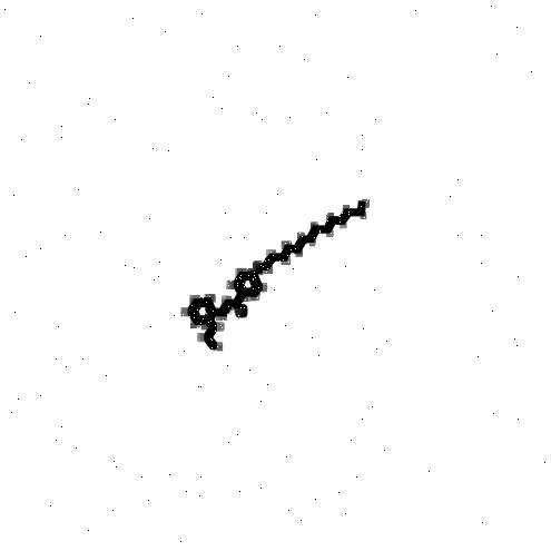 CCCCCCCCCCCCCCSc1ccc(C(=O)/C=C/c2ccccc2CCC)cc1